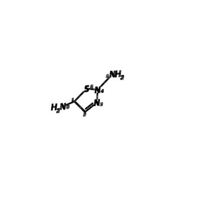 NC1C=NN(N)S1